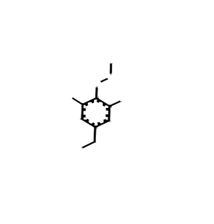 CSOc1c(F)cc(CCl)cc1F